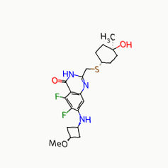 CO[C@H]1C[C@@H](Nc2cc3nc(CS[C@H]4CC[C@](C)(O)CC4)[nH]c(=O)c3c(F)c2F)C1